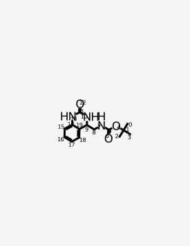 CC(C)(C)OC(=O)NCC1NC(=O)Nc2ccccc21